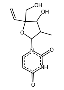 C=CC1(CO)OC(n2ccc(=O)[nH]c2=O)C(C)C1O